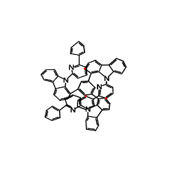 C1=CC(c2cccc(-n3c4ccccc4c4cccc(-c5cc(-c6cccc7c8ccccc8n(-c8cccc(-c9ccccc9)n8)c67)cc(-c6cccc7c8ccccc8n(-c8cccc(-c9ccccc9)n8)c67)c5)c43)n2)=CCC1